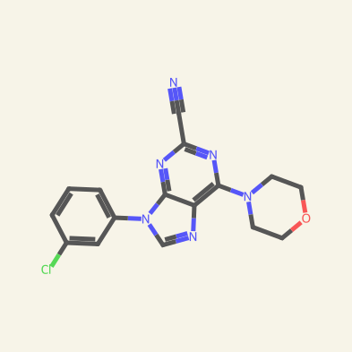 N#Cc1nc(N2CCOCC2)c2ncn(-c3cccc(Cl)c3)c2n1